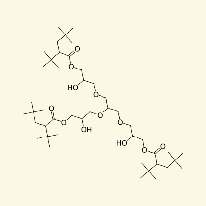 CC(C)(C)CC(C(=O)OCC(O)COCC(COCC(O)COC(=O)C(CC(C)(C)C)C(C)(C)C)OCC(O)COC(=O)C(CC(C)(C)C)C(C)(C)C)C(C)(C)C